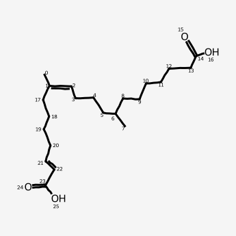 CC(=CCCCC(C)CCCCCCC(=O)O)CCCCC=CC(=O)O